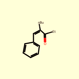 CCCCC(=Cc1ccccc1)C(=O)CC